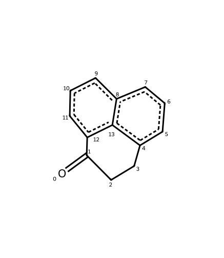 O=C1CCc2cccc3cccc1c23